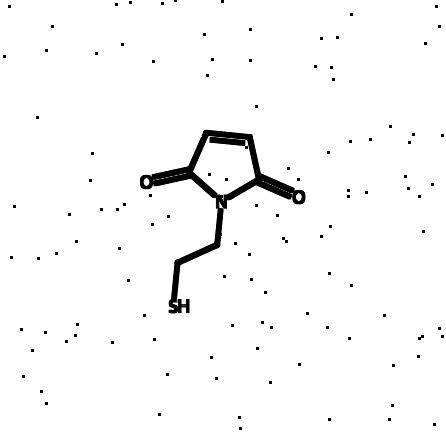 O=C1C=CC(=O)N1CCS